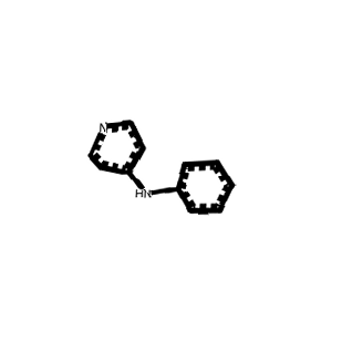 [c]1ccc(Nc2ccncc2)cc1